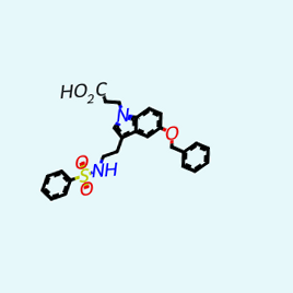 O=C(O)CCn1cc(CCNS(=O)(=O)c2ccccc2)c2cc(OCc3ccccc3)ccc21